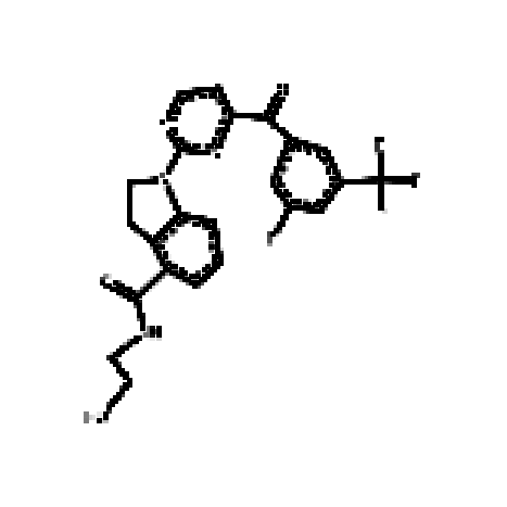 O=C(c1cc(F)cc(C(F)(F)F)c1)c1ccnc(N2CCc3c(C(=O)NCCO)cccc32)n1